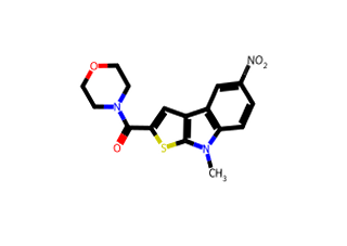 Cn1c2ccc([N+](=O)[O-])cc2c2cc(C(=O)N3CCOCC3)sc21